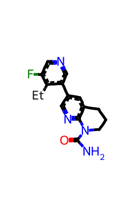 CCc1c(F)cncc1-c1cnc2c(c1)CCCN2C(N)=O